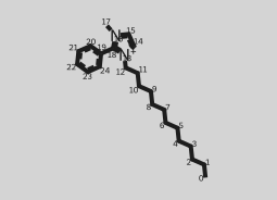 CCCCCCCCCCCCC[n+]1ccn(C)c1-c1ccccc1